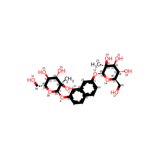 C[C@]1(O)[C@@H](Oc2ccc3ccc(O[C@H]4O[C@H](CO)[C@@H](O)[C@H](O)[C@]4(C)O)cc3c2)O[C@H](CO)[C@@H](O)[C@@H]1O